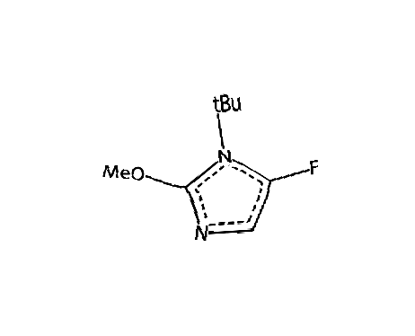 COc1ncc(F)n1C(C)(C)C